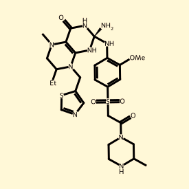 CCC1CN(C)C2=C(N[C@@](N)(Nc3ccc(S(=O)(=O)CC(=O)N4CCNC(C)C4)cc3OC)NC2=O)N1Cc1cncs1